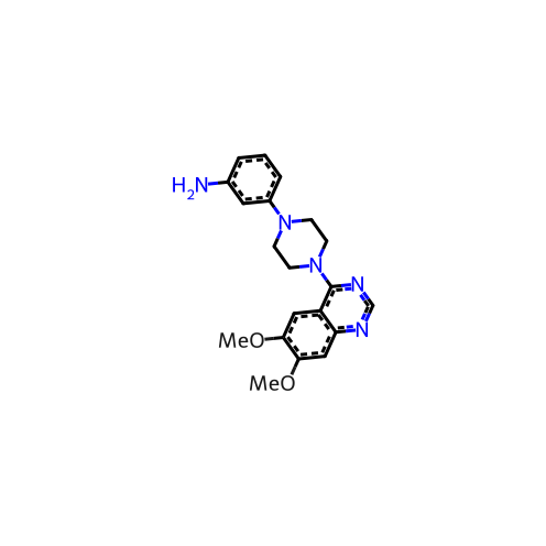 COc1cc2ncnc(N3CCN(c4cccc(N)c4)CC3)c2cc1OC